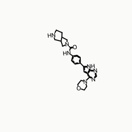 O=C(Nc1ccc(-c2cc3c(N4CCOCC4)ncnc3[nH]2)cc1)N1CC2CCNCC2C1